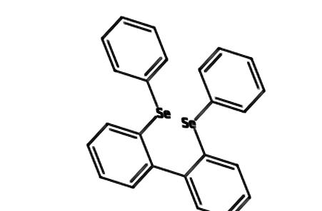 c1ccc([Se]c2ccccc2-c2ccccc2[Se]c2ccccc2)cc1